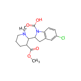 COC(=O)C1CCCN(C)C1C1Cc2cc(Cl)ccc2N1C(=O)O